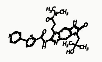 CN(C)C(=O)CCn1c(NC(=O)c2ccc(-c3ccncc3)s2)nc2cc3c(cc21)[nH]c(=O)n3CC(C)(C)O